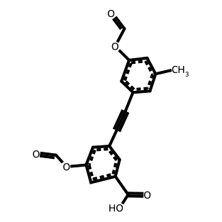 Cc1cc(C#Cc2cc(OC=O)cc(C(=O)O)c2)cc(OC=O)c1